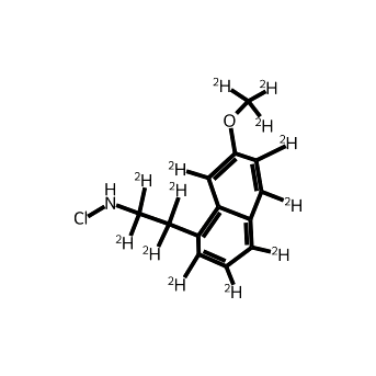 [2H]c1c([2H])c(C([2H])([2H])C([2H])([2H])NCl)c2c([2H])c(OC([2H])([2H])[2H])c([2H])c([2H])c2c1[2H]